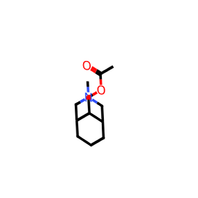 CC(=O)OCC1C2CCCC1CN(C)C2